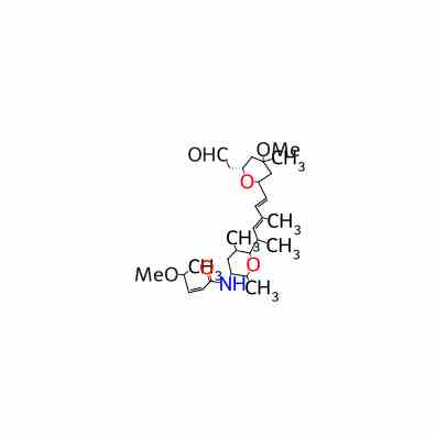 COC(C)/C=C\C(=O)NC1CC(C)C(C(C)/C=C(C)/C=C/C2CC(C)(OC)C[C@@H](CC=O)O2)OC1C